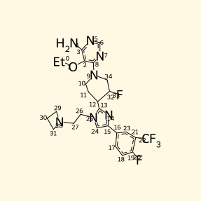 CCOc1c(N)ncnc1N1CCC(c2nc(-c3ccc(F)c(C(F)(F)F)c3)cn2CCN2CCC2)C(F)C1